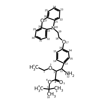 CCOC(C(=O)OC(C)(C)C)C(N)c1ccc(OCCN2c3ccccc3Oc3ccccc32)cc1